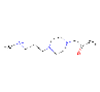 CNCCCN1CCN(CC(C)=O)CC1